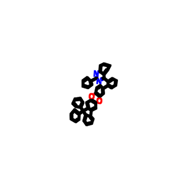 c1ccc(-c2nc(-c3ccccc3-c3ccc4c(c3)Oc3cc5c(cc3O4)C(c3ccccc3)(c3ccccc3)c3ccccc3-5)c3ccccc3n2)cc1